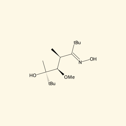 CO[C@H]([C@@H](C)C(=NO)C(C)(C)C)[C@](C)(O)C(C)(C)C